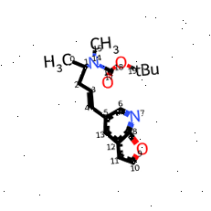 CC(C/C=C/c1cnc2occc2c1)N(C)C(=O)OC(C)(C)C